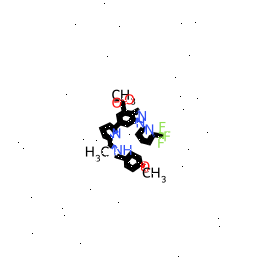 COC(=O)c1cc(-c2cccc(C(C)NCc3ccc(OC)cc3)n2)cc2c1cnn2-c1cccc(C(F)(F)F)n1